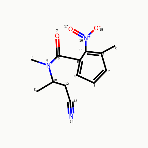 Cc1cccc(C(=O)N(C)C(C)CC#N)c1[N+](=O)[O-]